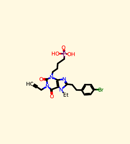 C#CCn1c(=O)c2c(nc(CCc3ccc(Br)cc3)n2CC)n(CCCCP(=O)(O)O)c1=O